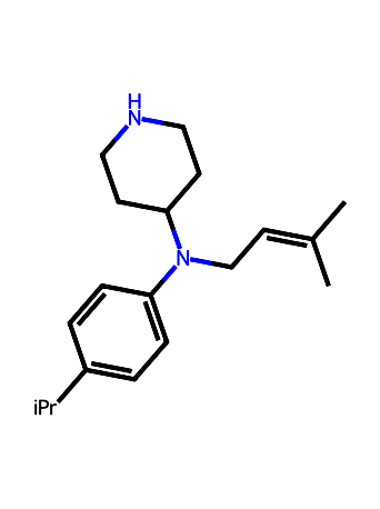 CC(C)=CCN(c1ccc(C(C)C)cc1)C1CCNCC1